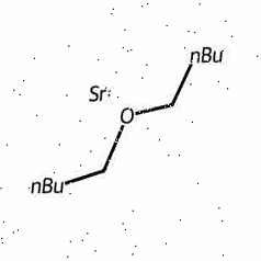 CCCCCOCCCCC.[Sr]